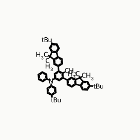 Cc1c(-c2ccc3c(c2)C(C)(C)c2cc(C(C)(C)C)ccc2-3)cc(N(c2ccccc2)c2ccc(C(C)(C)C)cc2)cc1-c1ccc2c(c1)C(C)(C)c1cc(C(C)(C)C)ccc1-2